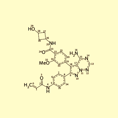 C=CC(=O)Nc1ccc(-c2nn3ncnc(N)c3c2-c2ccc(C(=O)NC3CC(O)C3)c(OC)c2)cc1